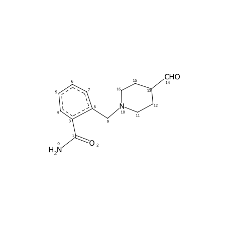 NC(=O)c1ccccc1CN1CCC(C=O)CC1